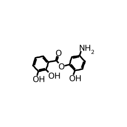 Nc1ccc(O)c(OC(=O)c2cccc(O)c2O)c1